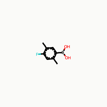 Cc1cc(B(O)O)c(C)cc1F